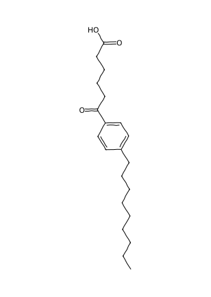 CCCCCCCCCc1ccc(C(=O)CCCCC(=O)O)cc1